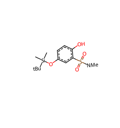 CNS(=O)(=O)c1cc(O[Si](C)(C)C(C)(C)C)ccc1O